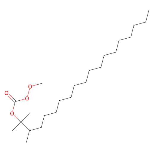 CCCCCCCCCCCCCCCCC(C)C(C)(C)OC(=O)OOC